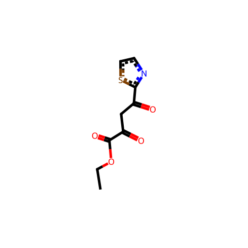 CCOC(=O)C(=O)CC(=O)c1nccs1